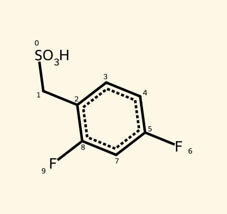 O=S(=O)(O)Cc1ccc(F)cc1F